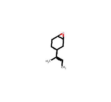 [CH2]C(=CC)C1CCC2OC2C1